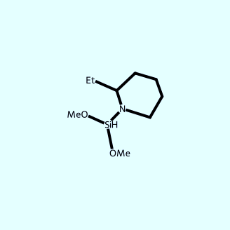 CCC1CCCCN1[SiH](OC)OC